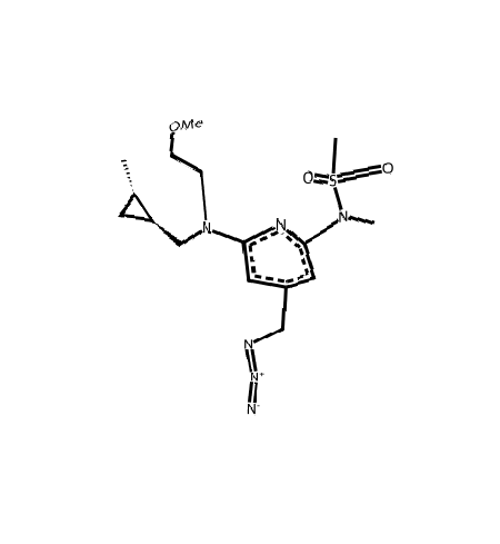 COCCN(C[C@H]1C[C@@H]1C)c1cc(CN=[N+]=[N-])cc(N(C)S(C)(=O)=O)n1